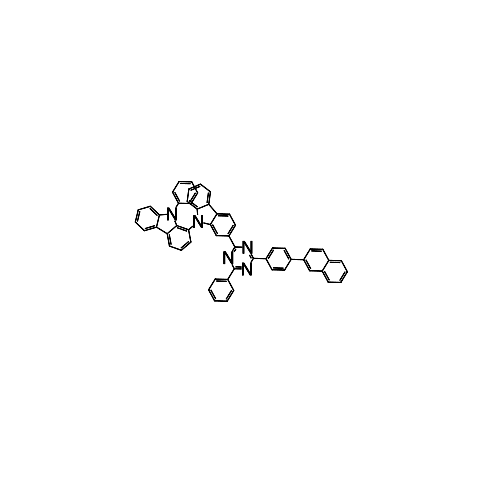 c1ccc(-c2nc(-c3ccc(-c4ccc5ccccc5c4)cc3)nc(-c3ccc4c5ccccc5n(-c5cccc6c7ccccc7n(-c7ccccc7)c56)c4c3)n2)cc1